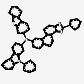 c1ccc(-c2nc3ccc4c5cc(N(c6ccc7c(c6)oc6ccccc67)c6ccc7c8ccccc8n(-c8ccccc8)c7c6)ccc5ccc4c3o2)cc1